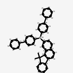 CC1(C)c2ccccc2-c2ccc3ccc(N(c4ccc(-c5ccccc5)cc4)c4ccc(-c5ccccc5)cc4)cc3c21